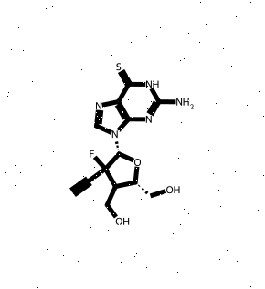 C#CC1(F)C(CO)[C@@H](CO)O[C@H]1n1cnc2c(=S)[nH]c(N)nc21